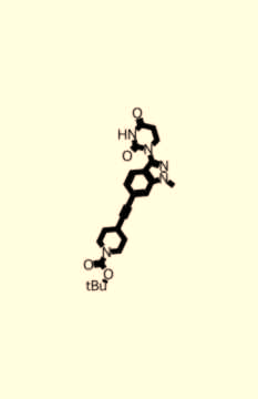 Cn1nc(N2CCC(=O)NC2=O)c2ccc(C#CC3CCN(C(=O)OC(C)(C)C)CC3)cc21